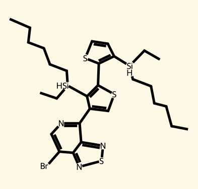 CCCCCC[SiH](CC)c1ccsc1-c1scc(-c2ncc(Br)c3nsnc23)c1[SiH](CC)CCCCCC